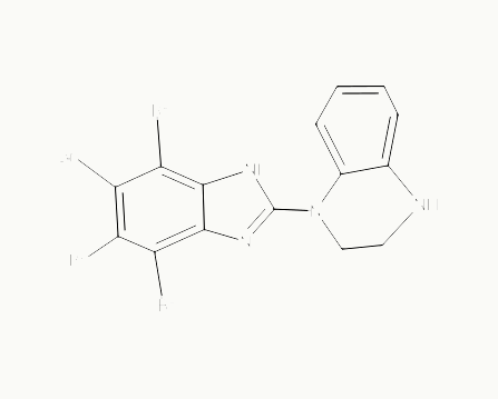 Brc1c(Br)c(Br)c2[nH]c(N3CCNc4ccccc43)nc2c1Br